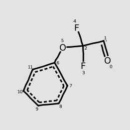 O=[C]C(F)(F)Oc1ccccc1